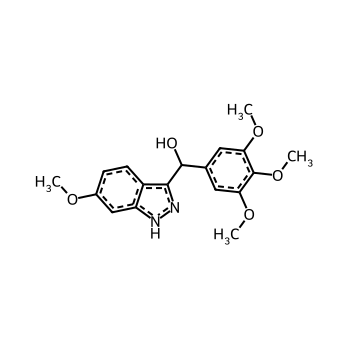 COc1ccc2c(C(O)c3cc(OC)c(OC)c(OC)c3)n[nH]c2c1